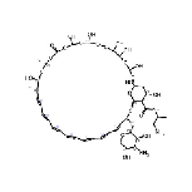 CC(CN)NC(=O)C1[C@@H]2CC(O[C@@H]3OC[C@@H](O)[C@H](N)[C@@H]3O)/C=C/C=C/C=C/C=C/C=C/C=C/C=C/[C@H](C)[C@@H](O)C[C@H](C)OC(=O)CC(O)C[C@H](O)CCC(O)C(O)CC(O)CC(O)(C[C@@H]1O)O2